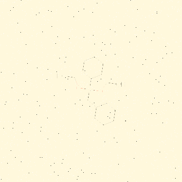 CCO[Si]([CH]C1CCCCC1)(OCC)C1CCCCC1